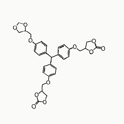 O=C1OCC(COc2ccc(C(c3ccc(OCC4COCO4)cc3)c3ccc(OCC4COC(=O)O4)cc3)cc2)O1